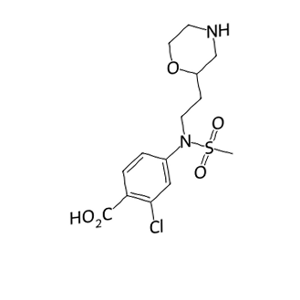 CS(=O)(=O)N(CCC1CNCCO1)c1ccc(C(=O)O)c(Cl)c1